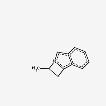 CC1Cc2c3ccccc3cn21